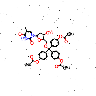 Cc1cn([C@H]2CC(O)C(COC(c3ccc(OC(=O)C(C)(C)C)cc3)(c3ccc(OC(=O)C(C)(C)C)cc3)c3ccc(OC(=O)C(C)(C)C)cc3)O2)c(=O)[nH]c1=O